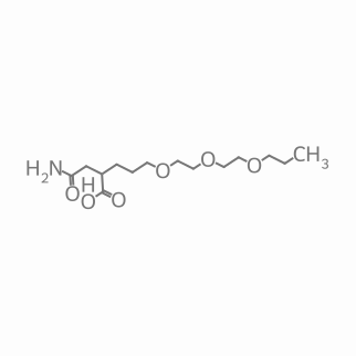 CCCOCCOCCOCCCC(CC(N)=O)C(=O)O